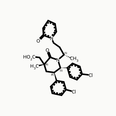 C[C@@H](CCn1ccccc1=O)N1C(=O)[C@@](C)(CC(=O)O)C[C@H](c2cccc(Cl)c2)[C@H]1c1ccc(Cl)cc1